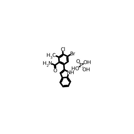 Cc1c(Cl)c(Br)cc(-c2cc3ccccc3[nH]2)c1C(N)=O.O=P(O)(O)O